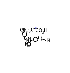 CN(C)CCCOc1ccc(-c2nn(Cc3ccc(Cl)cc3)c3ncccc23)cc1.O=C(O)/C=C\C(=O)O